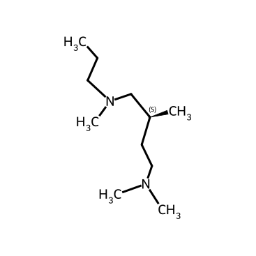 CCCN(C)C[C@@H](C)CCN(C)C